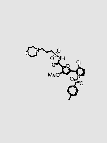 COc1cc(-c2c(Cl)ccn2S(=O)(=O)c2ccc(C)cc2)oc1C(=O)NS(=O)(=O)CCCN1CCOCC1